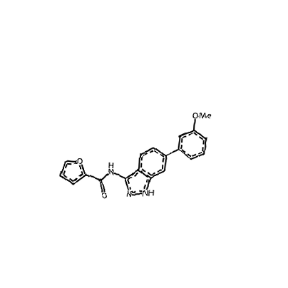 COc1cccc(-c2ccc3c(NC(=O)c4ccco4)n[nH]c3c2)c1